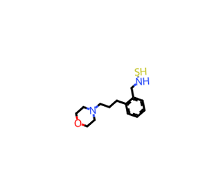 SNCc1ccccc1CCCN1CCOCC1